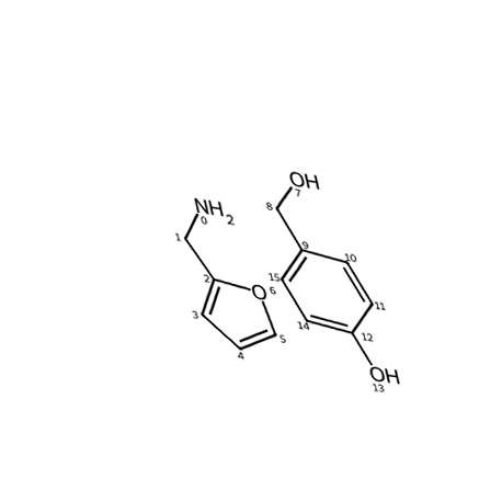 NCc1ccco1.OCc1ccc(O)cc1